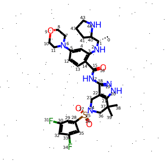 C[C@H](Nc1cc(N2CCOCC2)ccc1C(=O)Nc1n[nH]c2c1CN(S(=O)(=O)c1cc(F)cc(F)c1)CC2(C)C)C1CCCN1